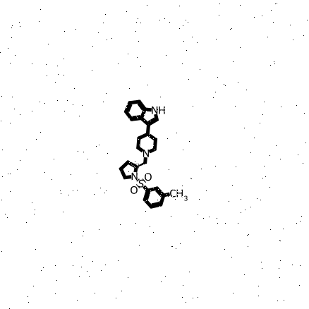 Cc1cccc(S(=O)(=O)N2CCC[C@H]2CN2CCC(c3c[nH]c4ccccc34)CC2)c1